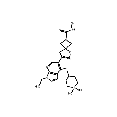 CCn1ncc2c(NC3CCS(O)(O)CC3)c(C3=NOC4(C3)CC(C(=O)NC)C4)cnc21